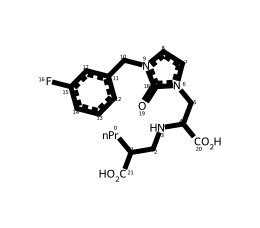 CCCC(CNC(Cn1ccn(Cc2cccc(F)c2)c1=O)C(=O)O)C(=O)O